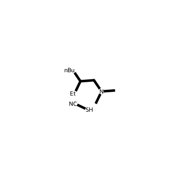 CCCCC(CC)CN(C)C.N#CS